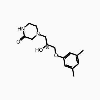 Cc1cc(C)cc(OC[C@@H](O)CN2CCNC(=O)C2)c1